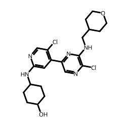 OC1CCC(Nc2cc(-c3cnc(Cl)c(NCC4CCOCC4)n3)c(Cl)cn2)CC1